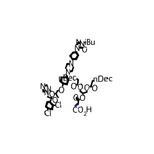 CCC(C)n1ncn(-c2ccc(N3CCN(c4ccc(OCC5COC(Cn6cncn6)(c6ccc(Cl)cc6Cl)O5)cc4)CC3)cc2)c1=O.CCCCCCCCCCCC(=O)OCC(COC(=O)CCCCCCCCCCC)OC(=O)/C=C/C(=O)O